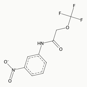 O=C(COC(F)(F)F)Nc1cccc([N+](=O)[O-])c1